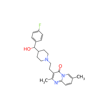 Cc1ccc2nc(C)c(CCN3CCC(C(O)c4ccc(F)cc4)CC3)c(=O)n2c1